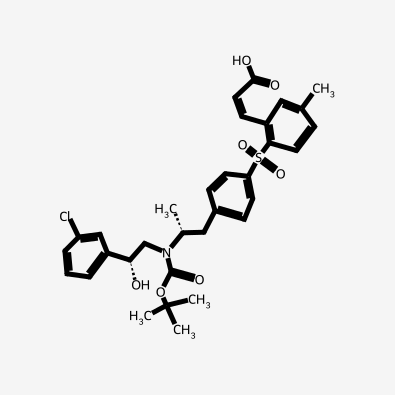 Cc1ccc(S(=O)(=O)c2ccc(C[C@@H](C)N(C[C@H](O)c3cccc(Cl)c3)C(=O)OC(C)(C)C)cc2)c(/C=C\C(=O)O)c1